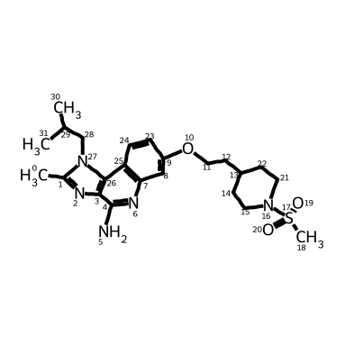 Cc1nc2c(N)nc3cc(OCCC4CCN(S(C)(=O)=O)CC4)ccc3c2n1CC(C)C